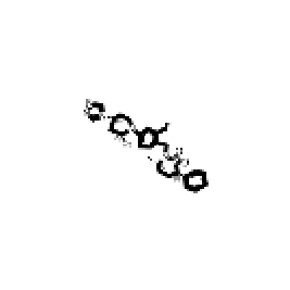 CC[C@H]1C[C@H](n2cnnc2)CCN1c1ccc(CN2[C@@H](C)CC[C@H](c3ccccc3)S2(=O)=O)c(F)c1